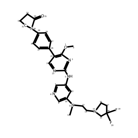 COc1nc(Nc2cncc(N(C)CCN3CCC(F)(F)C3)c2)ncc1-c1ccc(N2CCCC2=O)cc1